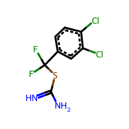 N=C(N)SC(F)(F)c1ccc(Cl)c(Cl)c1